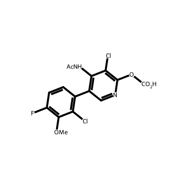 COc1c(F)ccc(-c2cnc(OC(=O)O)c(Cl)c2NC(C)=O)c1Cl